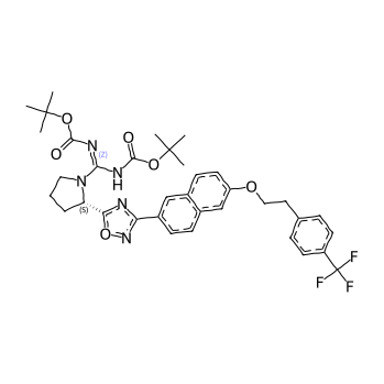 CC(C)(C)OC(=O)/N=C(/NC(=O)OC(C)(C)C)N1CCC[C@H]1c1nc(-c2ccc3cc(OCCc4ccc(C(F)(F)F)cc4)ccc3c2)no1